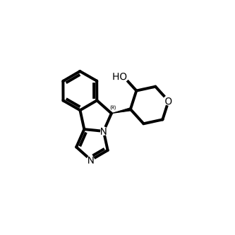 OC1COCCC1[C@@H]1c2ccccc2-c2cncn21